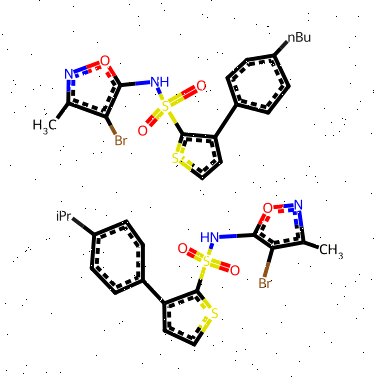 CCCCc1ccc(-c2ccsc2S(=O)(=O)Nc2onc(C)c2Br)cc1.Cc1noc(NS(=O)(=O)c2sccc2-c2ccc(C(C)C)cc2)c1Br